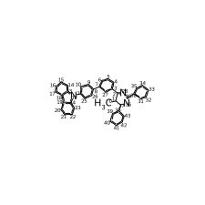 CC1C(c2cccc(-c3ccc(-n4c5ccccc5c5ccccc54)cc3)c2)=NC(c2ccccc2)=NC1c1ccccc1